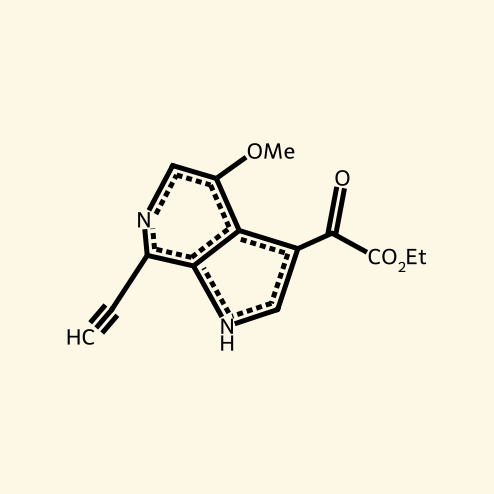 C#Cc1ncc(OC)c2c(C(=O)C(=O)OCC)c[nH]c12